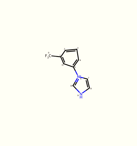 FC(F)(F)c1cccc(-[n+]2cc[nH]c2)c1